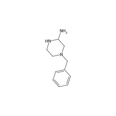 NC1CN(Cc2ccccc2)CCN1